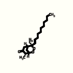 CCCCCCCCC/C=C/[C@@]1(C)OO[C@H]2C[C@@H]1CC(=O)[C@H]2C